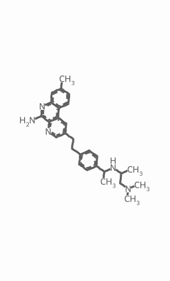 Cc1ccc2c(c1)nc(N)c1ncc(CCc3ccc(C(C)NC(C)CN(C)C)cc3)cc12